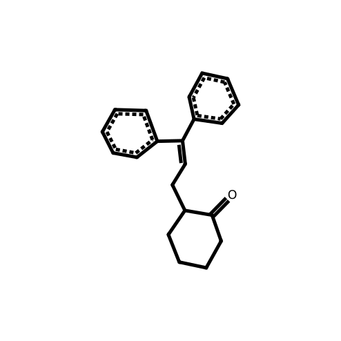 O=C1CCCCC1CC=C(c1ccccc1)c1ccccc1